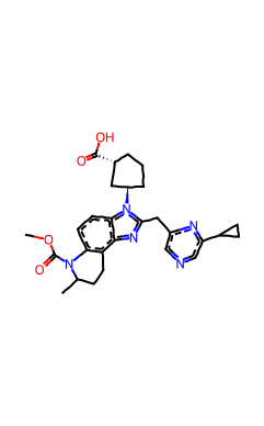 COC(=O)N1c2ccc3c(nc(Cc4cncc(C5CC5)n4)n3[C@@H]3CCC[C@@H](C(=O)O)C3)c2CCC1C